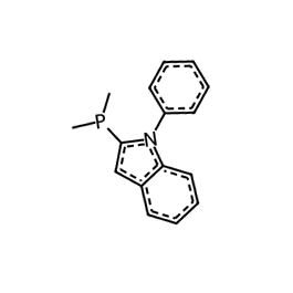 CP(C)c1cc2ccccc2n1-c1ccccc1